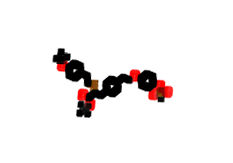 C[Si](C)(C)OC(=O)C(Cc1ccc(CCOc2ccc(OS(C)(=O)=O)cc2)cc1)SCCc1ccc(O[Si](C)(C)C)cc1